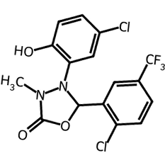 CN1C(=O)OC(c2cc(C(F)(F)F)ccc2Cl)N1c1cc(Cl)ccc1O